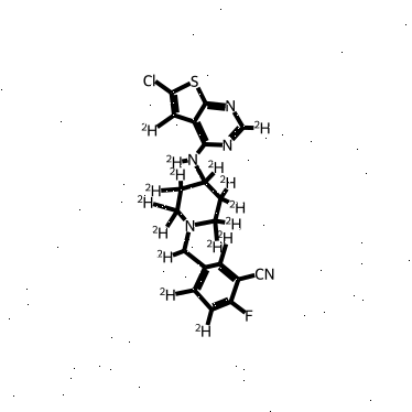 [2H]c1nc(N([2H])C2([2H])C([2H])([2H])C([2H])([2H])N(C([2H])c3c([2H])c([2H])c(F)c(C#N)c3[2H])C([2H])([2H])C2([2H])[2H])c2c([2H])c(Cl)sc2n1